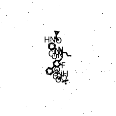 CCCc1nn(-c2cc(NC(=O)C3CC3)ccc2Cl)c(=O)n1Cc1ccc(-c2ccccc2S(=O)(=O)NC(=O)OC(C)(C)C)cc1F